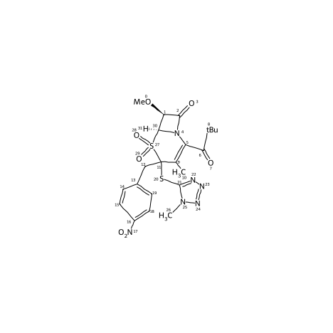 CO[C@H]1C(=O)N2C(C(=O)C(C)(C)C)=C(C)C(Cc3ccc([N+](=O)[O-])cc3)(Sc3nnnn3C)S(=O)(=O)[C@@H]12